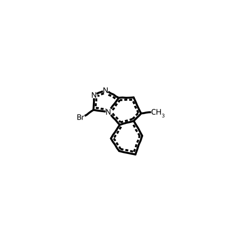 Cc1cc2nnc(Br)n2c2ccccc12